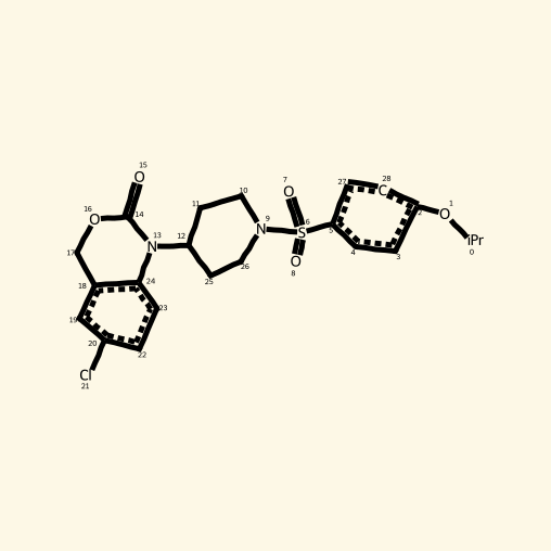 CC(C)Oc1ccc(S(=O)(=O)N2CCC(N3C(=O)OCc4cc(Cl)ccc43)CC2)cc1